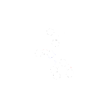 CC1(C)c2ccccc2-c2cc(-c3nc(-n4c5ccc6cccc7c6c5c5c6c(ccc54)oc4cccc-7c46)nc4c3oc3ccccc34)ccc21